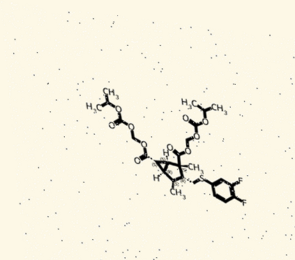 CC(C)OC(=O)OCOC(=O)[C@H]1[C@@H]2[C@H](C)[C@@H](CSc3ccc(F)c(F)c3)[C@@](C)(C(=O)OCOC(=O)OC(C)C)[C@H]12